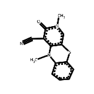 CN1c2ccccc2Sc2cn(C)c(=O)c(C#N)c21